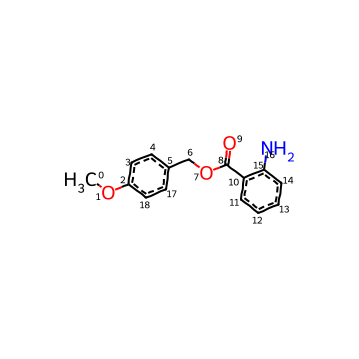 COc1ccc(COC(=O)c2ccccc2N)cc1